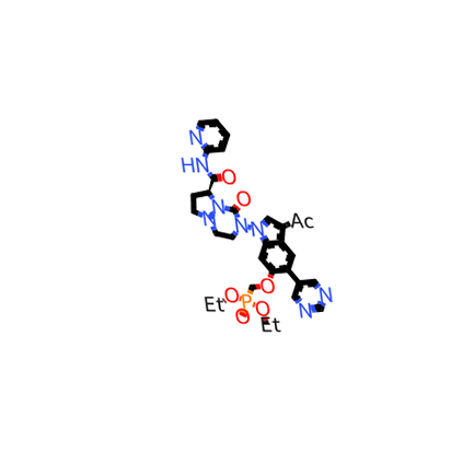 CCOP(=O)(COc1cc2c(cc1-c1cncnc1)c(C(C)=O)cn2N1CCN2CC[C@@H](C(=O)Nc3ccccn3)N2C1=O)OCC